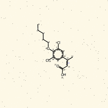 CCCCCOc1c(Cl)cc(/C(C)=C\C(=O)O)cc1Cl